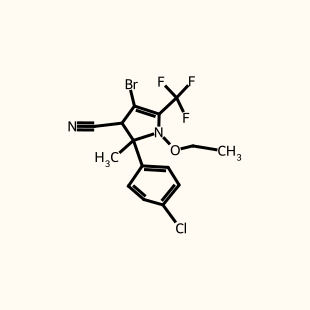 CCON1C(C(F)(F)F)=C(Br)C(C#N)C1(C)c1ccc(Cl)cc1